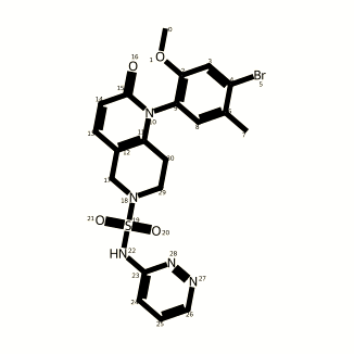 COc1cc(Br)c(C)cc1-n1c2c(ccc1=O)CN(S(=O)(=O)Nc1cccnn1)CC2